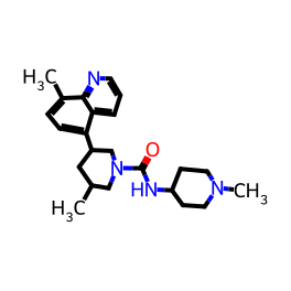 Cc1ccc(C2CC(C)CN(C(=O)NC3CCN(C)CC3)C2)c2cccnc12